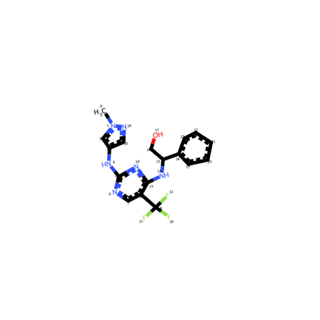 Cn1cc(Nc2ncc(C(F)(F)F)c(NC(CO)c3ccccc3)n2)cn1